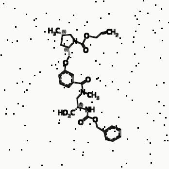 C=CCOC(=O)N1C[C@@H](C)C[C@H]1COc1cccc(C(=O)N(C)C[C@H](NC(=O)OCc2ccccc2)C(=O)O)c1